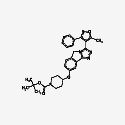 Cc1onc(-c2ccccc2)c1-c1nnc2n1Cc1ccc(OC3CCN(C(=O)OC(C)(C)C)CC3)cc1-2